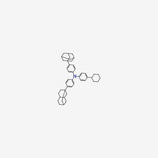 c1cc(N(c2ccc(C34CC5CC(CC(C5)C3)C4)cc2)c2ccc(C34CCC5CCC(CC5C3)C4)cc2)ccc1C1CCCCC1